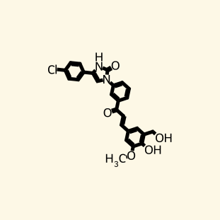 COc1cc(/C=C/C(=O)c2cccc(-n3cc(-c4ccc(Cl)cc4)[nH]c3=O)c2)cc(CO)c1O